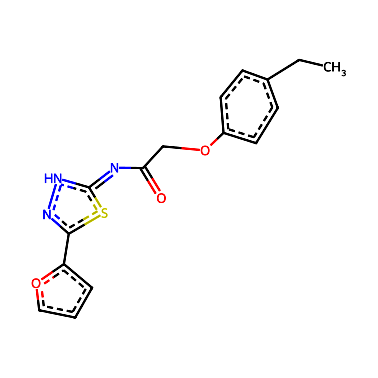 CCc1ccc(OCC(=O)/N=c2/[nH]nc(-c3ccco3)s2)cc1